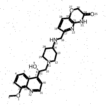 COc1cccc2c([C@H](O)CN3CCC(NCc4ccc5c(n4)NC(=O)CO5)CC3)ccnc12